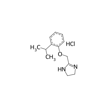 CC(C)c1ccccc1OCC1=NCCN1.Cl